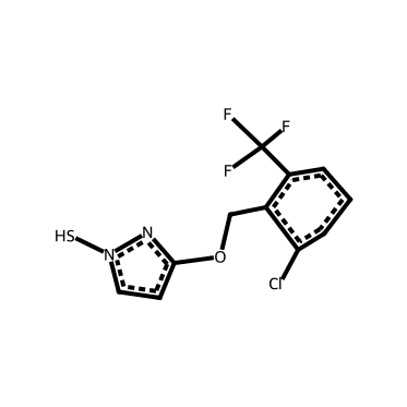 FC(F)(F)c1cccc(Cl)c1COc1ccn(S)n1